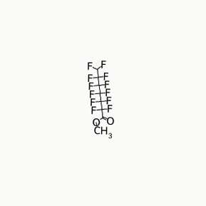 COC(=O)C(F)(F)C(F)(F)C(F)(F)C(F)(F)C(F)(F)C(F)F